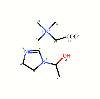 CC(O)N1C=NCC1.C[N+](C)(C)CC(=O)[O-]